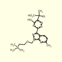 CCC(C)(C(=O)O)c1nnc(-c2nn(COCC[Si](C)(C)C)c3nc(C)ccc23)nc1O